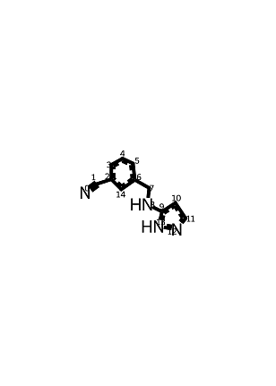 N#Cc1cccc(CNc2ccn[nH]2)c1